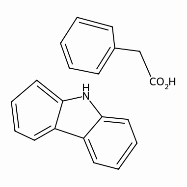 O=C(O)Cc1ccccc1.c1ccc2c(c1)[nH]c1ccccc12